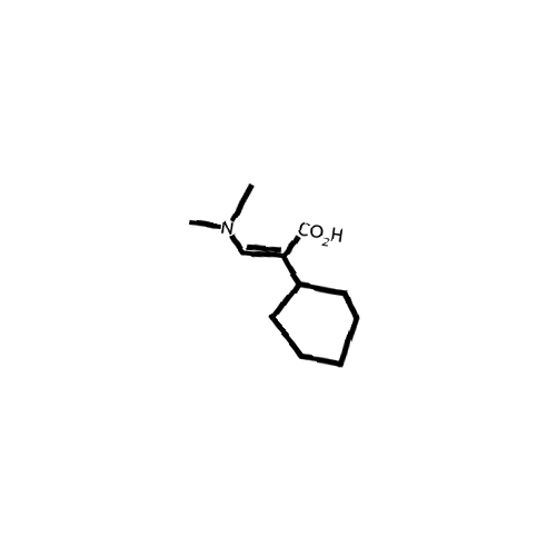 CN(C)C=C(C(=O)O)C1CCCCC1